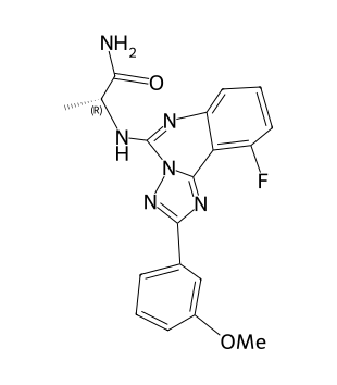 COc1cccc(-c2nc3c4c(F)cccc4nc(N[C@H](C)C(N)=O)n3n2)c1